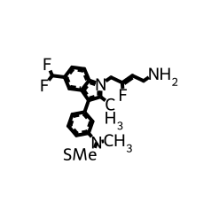 CSN(C)c1cccc(-c2c(C)n(C/C(F)=C/CN)c3ccc(C(F)F)cc23)c1